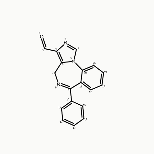 O=Cc1ncn2c1CN=C(c1ccccc1)c1ccccc1-2